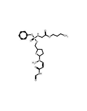 CCCCOC(=O)CNP(=O)(OCC1CCC(N(C)/C=C\C(=O)NC=O)O1)Oc1ccccc1